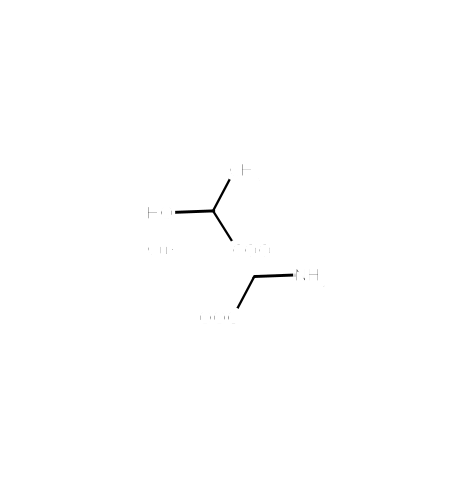 CC(O)C(=O)[O-].NCC(=O)[O-].[Cu+2]